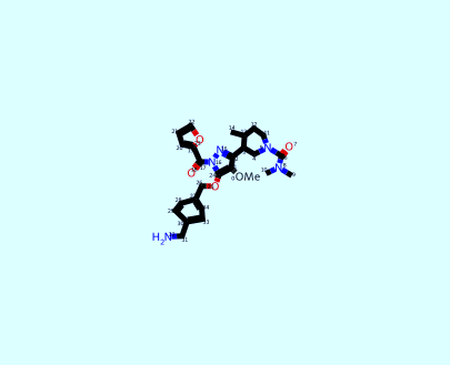 COc1c(C2CN(C(=O)N(C)C)CCC2C)nn(C(=O)c2ccco2)c1OCc1ccc(CN)cc1